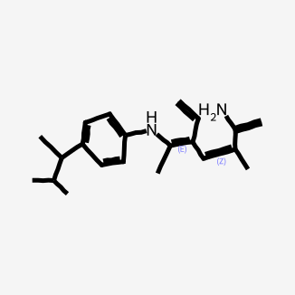 C=CC(/C=C(/C)C(=C)N)=C(/C)Nc1ccc(C(C)C(C)C)cc1